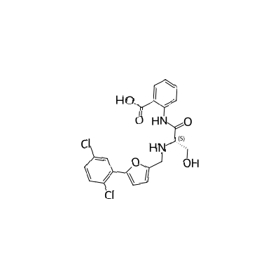 O=C(O)c1ccccc1NC(=O)[C@H](CO)NCc1ccc(-c2cc(Cl)ccc2Cl)o1